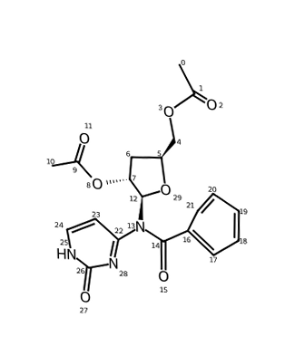 CC(=O)OC[C@@H]1C[C@@H](OC(C)=O)[C@H](N(C(=O)c2ccccc2)c2cc[nH]c(=O)n2)O1